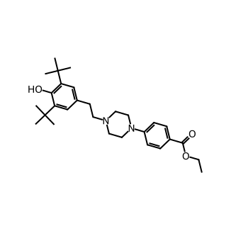 CCOC(=O)c1ccc(N2CCN(CCc3cc(C(C)(C)C)c(O)c(C(C)(C)C)c3)CC2)cc1